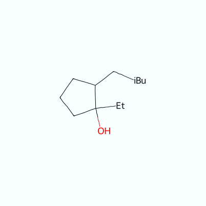 CCC(C)CC1CCCC1(O)CC